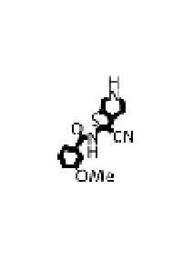 COc1cccc(C(=O)Nc2sc3c(c2C#N)CCNC3)c1